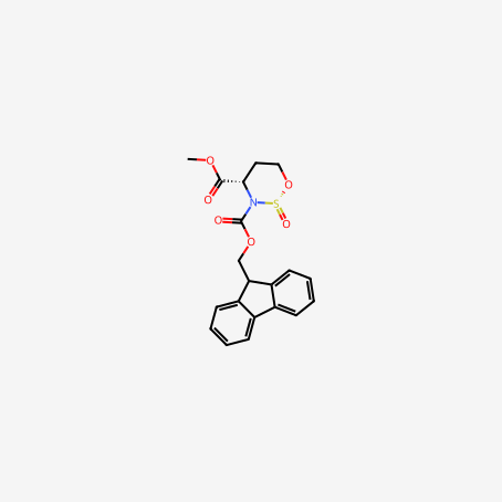 COC(=O)[C@@H]1CCO[S@](=O)N1C(=O)OCC1c2ccccc2-c2ccccc21